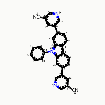 N#Cc1cncc(-c2ccc3c4ccc(-c5cncc(C#N)c5)cc4n(-c4ccccc4)c3c2)c1